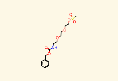 CS(=O)(=O)OCCOCCOCCNC(=O)OCc1ccccc1